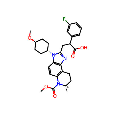 COC(=O)N1c2ccc3c(nc(CC(C(=O)O)c4cccc(F)c4)n3[C@H]3CC[C@H](OC)CC3)c2CC[C@@H]1C